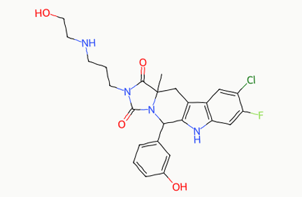 CC12Cc3c([nH]c4cc(F)c(Cl)cc34)C(c3cccc(O)c3)N1C(=O)N(CCCNCCO)C2=O